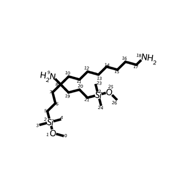 CO[Si](C)(C)CCCC(N)(CCCCCCCCN)CCC[Si](C)(C)OC